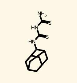 NC(=S)NC(=S)NC1C2CC3CC(C2)CC1C3